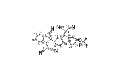 N#CC(C#N)=C1C(c2ccc3c(c2)C(=C(C#N)C#N)c2cc(OC(F)(F)F)ccc2-3)=C(C#N)c2ccccc21